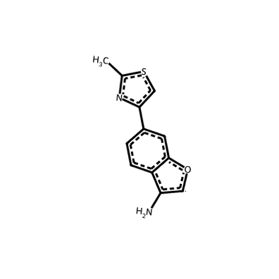 Cc1nc(-c2ccc3c(N)[c]oc3c2)cs1